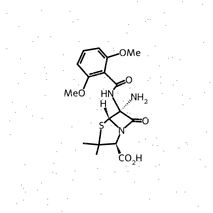 COc1cccc(OC)c1C(=O)N[C@@]1(N)C(=O)N2[C@@H](C(=O)O)C(C)(C)S[C@@H]21